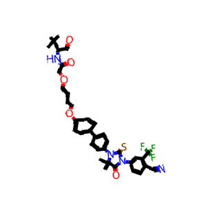 CC(C)(C)C(C=O)NC(=O)COCCCCOc1ccc(-c2ccc(N3C(=S)N(c4ccc(C#N)c(C(F)(F)F)c4)C(=O)C3(C)C)cc2)cc1